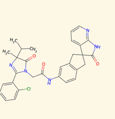 CC(C)C1(C)N=C(c2ccccc2Cl)N(CC(=O)Nc2ccc3c(c2)CC2(C3)C(=O)Nc3ncccc32)C1=O